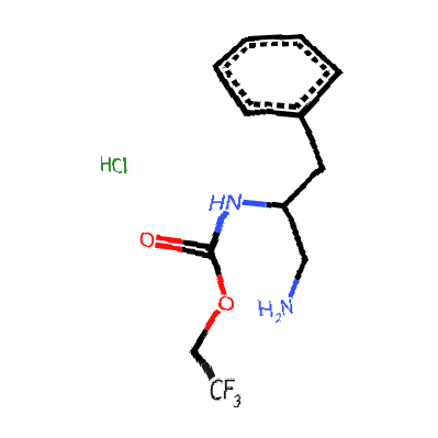 Cl.NCC(Cc1ccccc1)NC(=O)OCC(F)(F)F